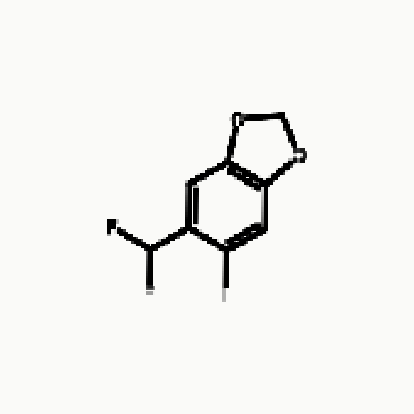 Fc1cc2c(cc1C(F)F)OCO2